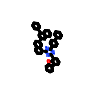 c1ccc(-c2ccc(-c3nc(-c4cccc5ccc(-c6cc(-c7ccccc7)c7ccccc7c6)cc45)nc(-c4cccc5c4oc4ccccc45)n3)cc2)cc1